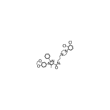 Cc1c(C(=O)N(C)CCCN2CCN(c3cccc(Cl)c3Cl)CC2)nc(-c2ccccc2)n1-c1ccc2c(c1)OCCO2